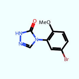 COc1ccc(Br)cc1-n1cn[nH]c1=O